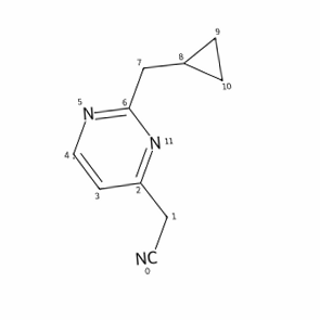 N#CCc1c[c]nc(CC2CC2)n1